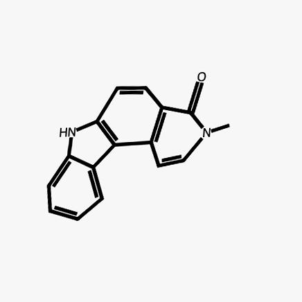 Cn1ccc2c(ccc3[nH]c4ccccc4c32)c1=O